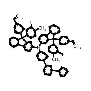 C=Cc1ccc(C2(c3ccc(C)c(F)c3)c3ccccc3-c3ccc(N(c4ccc(-c5cccc(-c6ccccc6)c5)cc4)c4ccc5c(c4)C(c4ccc(C=C)cc4)(c4ccc(C)c(F)c4)c4ccccc4-5)cc32)cc1